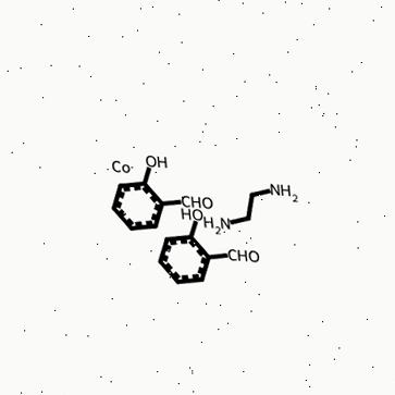 NCCN.O=Cc1ccccc1O.O=Cc1ccccc1O.[Co]